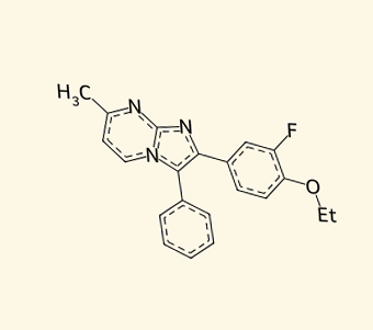 CCOc1ccc(-c2nc3nc(C)ccn3c2-c2ccccc2)cc1F